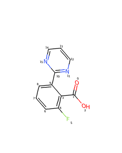 O=C(O)c1c(F)cccc1-c1ncccn1